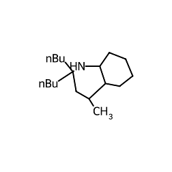 CCCCC1(CCCC)CC(C)C2CCCCC2N1